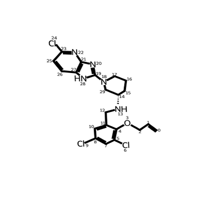 C=CCOc1c(Cl)cc(Cl)cc1CN[C@H]1CCCN(c2nc3nc(Cl)ccc3[nH]2)C1